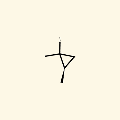 C[C@@H]1CC1(C)I